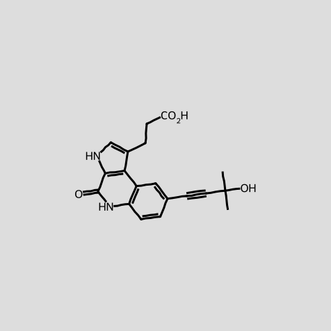 CC(C)(O)C#Cc1ccc2[nH]c(=O)c3[nH]cc(CCC(=O)O)c3c2c1